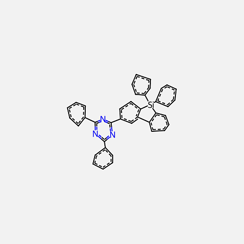 c1ccc(-c2nc(-c3ccccc3)nc(-c3ccc4c(c3)-c3ccccc3[Si]4(c3ccccc3)c3ccccc3)n2)cc1